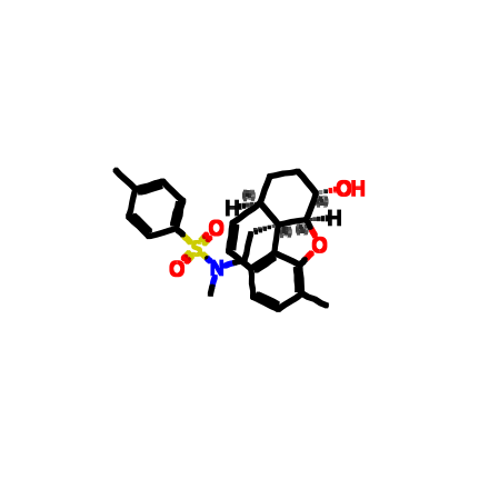 Cc1ccc(S(=O)(=O)N(C)CC[C@@]23c4c5ccc(C)c4O[C@@H]2[C@@H](O)CC[C@@H]3C=C5)cc1